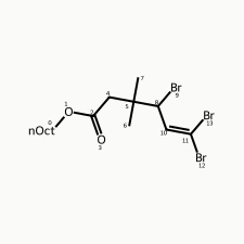 CCCCCCCCOC(=O)CC(C)(C)C(Br)C=C(Br)Br